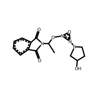 CC(On1on1N1CCC(O)C1)N1C(=O)c2ccccc2C1=O